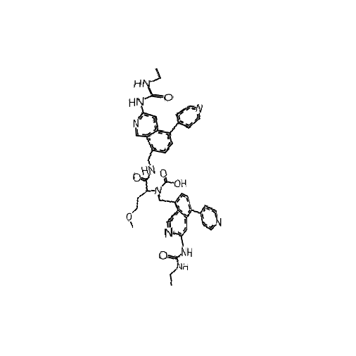 CCNC(=O)Nc1cc2c(-c3ccncc3)ccc(CNC(=O)C(CCOC)N(Cc3ccc(-c4ccncc4)c4cc(NC(=O)NCC)ncc34)C(=O)O)c2cn1